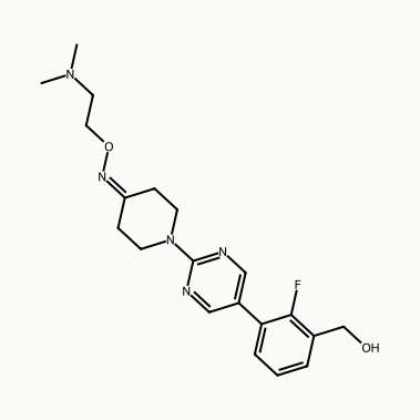 CN(C)CCON=C1CCN(c2ncc(-c3cccc(CO)c3F)cn2)CC1